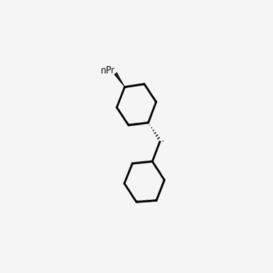 CCC[C@H]1CC[C@H]([CH]C2CCCCC2)CC1